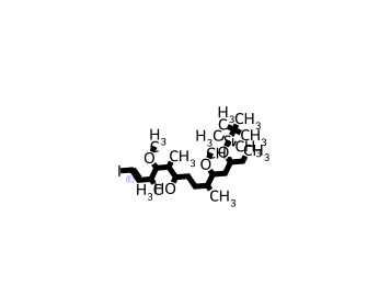 CCC(CC(OC)C(C)CCC(O)C(C)C(OC)C(C)/C=C/I)O[Si](C)(C)C(C)(C)C